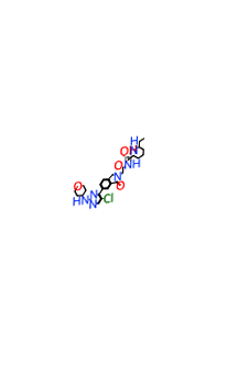 CCC1CCCC([C@@H](CO)NC(=O)CN2Cc3ccc(-c4nc(NC5CCOCC5)ncc4Cl)cc3C2=O)N1